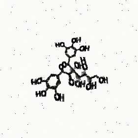 O=C(C(=O)[C@@](O)(C(=O)c1cc(O)c(O)c(O)c1)[C@@H](O)[C@H](O)[C@H](O)CO)c1cc(O)c(O)c(O)c1